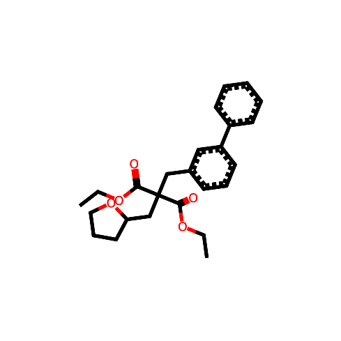 CCOC(=O)C(Cc1cccc(-c2ccccc2)c1)(CC1CCCO1)C(=O)OCC